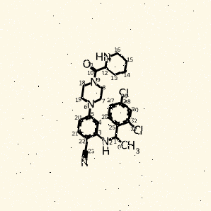 CC(Nc1cc(N2CCN(C(=O)C3CCCCN3)CC2)ccc1C#N)c1ccc(Cl)cc1Cl